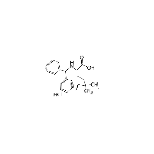 CC(C)(C)CC[C@H](NC(c1ccccc1)c1ccccc1)C(=O)O.Cl